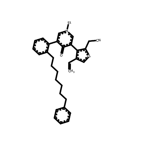 C=Cc1csc(CC#N)c1-c1cn(CC)cc(-c2ccccc2CCCCCCCc2ccccc2)c1=O